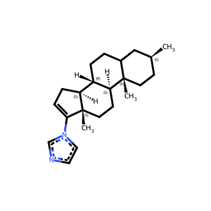 C[C@H]1CC[C@@]2(C)C(CC[C@@H]3[C@@H]2CC[C@]2(C)C(n4ccnc4)=CC[C@@H]32)C1